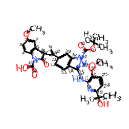 COc1ccc2c(c1)[C@]1(C[C@H]1c1ccc3c(Nc4nc(C(C)(C)O)ccc4OC)nn(C(=O)OC(C)(C)C)c3c1)C(=O)N2C(=O)O